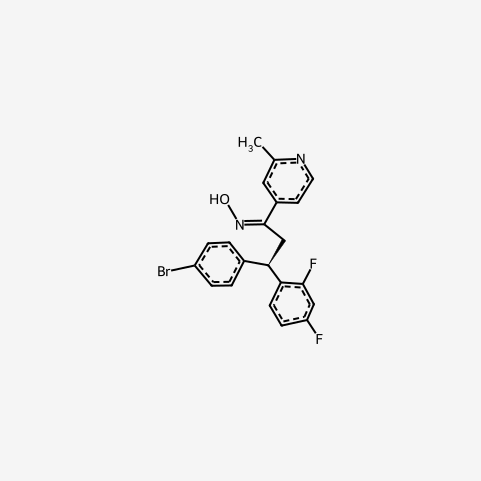 Cc1cc(C(C[C@H](c2ccc(Br)cc2)c2ccc(F)cc2F)=NO)ccn1